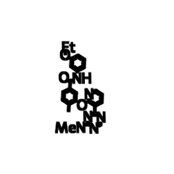 CCOc1cccc(NC(=O)c2ccc(C)c(Oc3ncccc3-c3ncnc(NC)n3)c2)c1